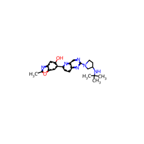 Cc1nc2cc(O)c(-c3ccc4nc(N5CCC(NC(C)(C)C)C5)ncc4n3)cc2o1